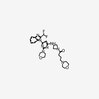 O=C(CCCN1CCOCC1)N1CC(Nc2cc(-n3c(C(F)F)nc4ccccc43)nc(N3CCOCC3)n2)C1